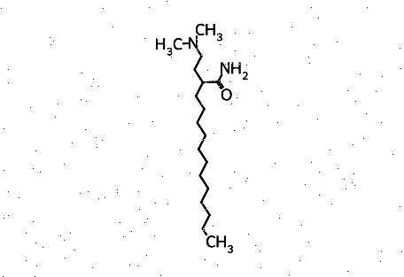 CCCCCCCCCCCCC(CCN(C)C)C(N)=O